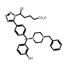 CCC(CCCC(=O)O)n1nnnc1-c1ccc([C@H](c2cccc(O)c2)N2CCN(Cc3ccccc3)CC2)cc1